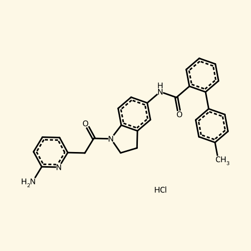 Cc1ccc(-c2ccccc2C(=O)Nc2ccc3c(c2)CCN3C(=O)Cc2cccc(N)n2)cc1.Cl